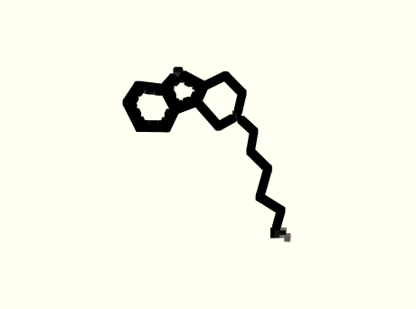 NCCCCCN1CCc2oc3ccccc3c2C1